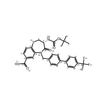 CC(C)(C)OC(=O)N[C@H]1CSc2ccc(C(=O)O)cc2N(Cc2ccc(-c3ccc(C(F)(F)F)cc3)cc2)C1=O